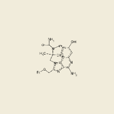 CCOCc1nc2c(N)nc3cc(O)ccc3c2n1CC(C)(C)N(C(N)=O)C(C)C